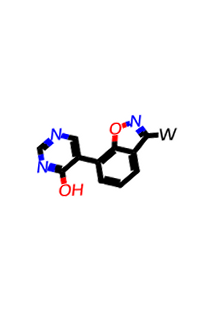 Oc1ncncc1-c1cccc2[c]([W])noc12